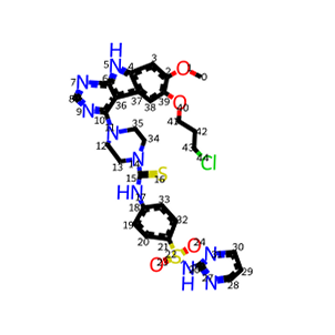 COc1cc2[nH]c3ncnc(N4CCN(C(=S)Nc5ccc(S(=O)(=O)Nc6ncccn6)cc5)CC4)c3c2cc1OCCCCl